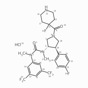 CN(C(=O)N(C)[C@@H]1CN(C(=O)C2(F)CCNCC2)C[C@H]1c1ccc(F)cc1)c1cc(C(F)(F)F)cc(C(F)(F)F)c1.Cl